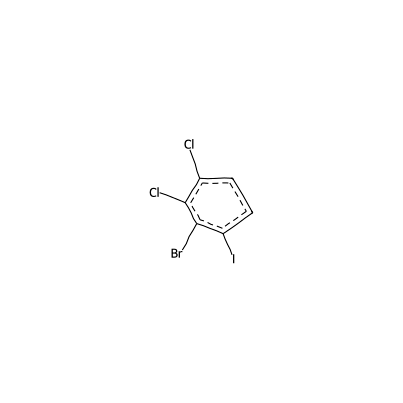 Clc1ccc(I)c(Br)c1Cl